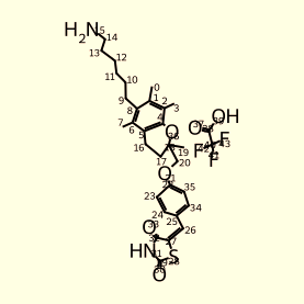 Cc1c(C)c2c(c(C)c1CCCCCCN)CCC(C)(COc1ccc(C=C3SC(=O)NC3=O)cc1)O2.O=C(O)C(F)(F)F